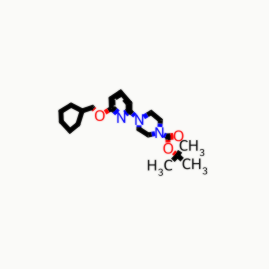 CC(C)(C)OC(=O)N1CCN(c2cccc(OCC3CCCCC3)n2)CC1